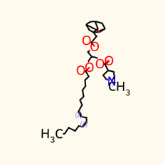 CCCCC/C=C\C/C=C\CCCCCCCC(=O)OCC(COC(=O)CC12CC3CC(CC(C3)C1)C2)COC(=O)C1CCN(C)CC1